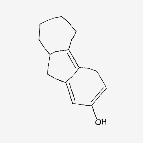 OC1=CCC2=C3CCCCC3CC2=C1